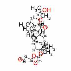 C[C@@H]1C[C@H](CC(C)(C)O)O[C@@H]2C(=O)[C@@]3(C)[C@@H]4CC[C@H]5C(C)(C)[C@@H](O[C@@H](C=O)OCCC=O)CC[C@@]56C[C@@]46CC[C@]3(C)C12